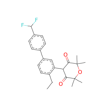 CCc1ccc(-c2ccc(C(F)F)cc2)cc1C1C(=O)C(C)(C)OC(C)(C)C1=O